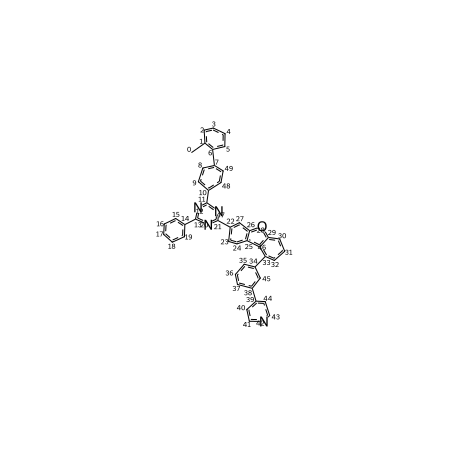 Cc1ccccc1-c1ccc(-c2nc(-c3ccccc3)nc(-c3ccc4c(c3)oc3cccc(-c5cccc(-c6ccncc6)c5)c34)n2)cc1